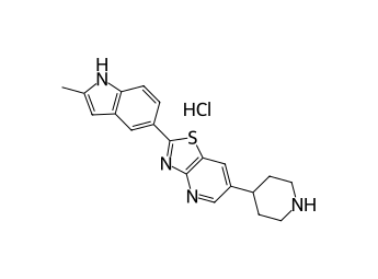 Cc1cc2cc(-c3nc4ncc(C5CCNCC5)cc4s3)ccc2[nH]1.Cl